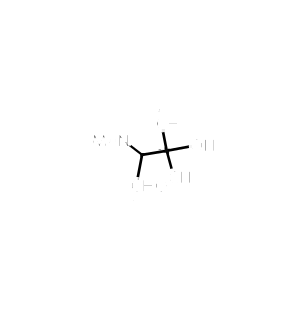 CNC([C]=O)C(C)(C)O